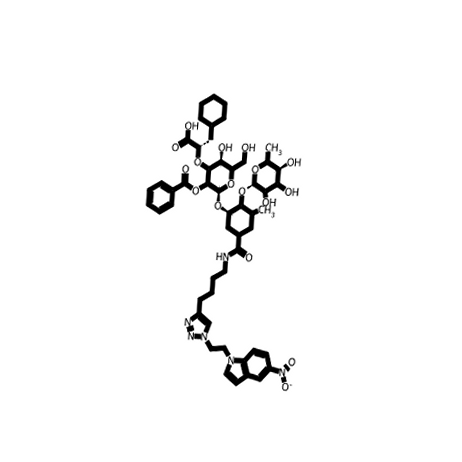 CC1CC(C(=O)NCCCCc2cn(CCn3ccc4cc([N+](=O)[O-])ccc43)nn2)C[C@@H](O[C@@H]2OC(CO)[C@H](O)C(O[C@@H](CC3CCCCC3)C(=O)O)C2OC(=O)c2ccccc2)C1O[C@@H]1OC(C)[C@@H](O)C(O)C1O